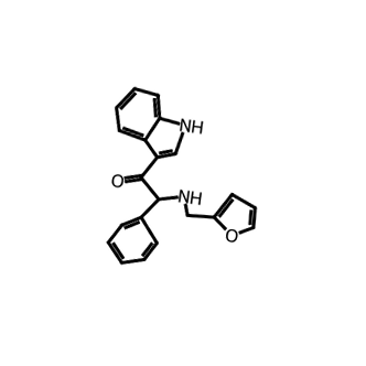 O=C(c1c[nH]c2ccccc12)C(NCc1ccco1)c1ccccc1